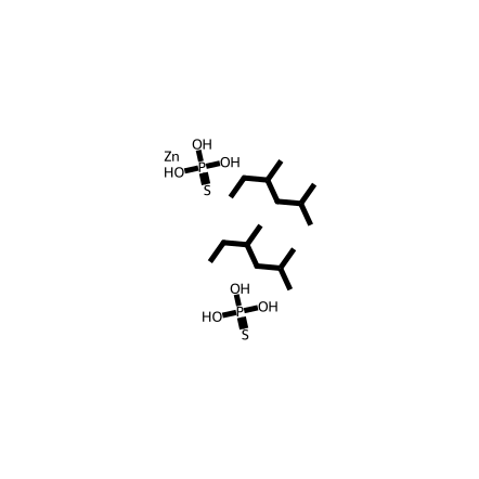 CCC(C)CC(C)C.CCC(C)CC(C)C.OP(O)(O)=S.OP(O)(O)=S.[Zn]